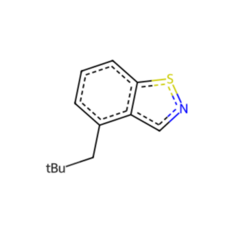 CC(C)(C)Cc1cccc2sncc12